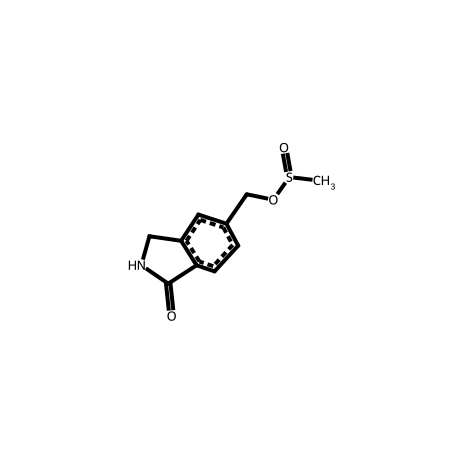 CS(=O)OCc1ccc2c(c1)CNC2=O